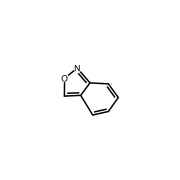 [c]1cccc2conc12